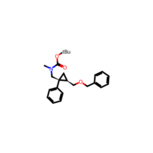 CN(C[C@@]1(c2ccccc2)C[C@H]1COCc1ccccc1)C(=O)OC(C)(C)C